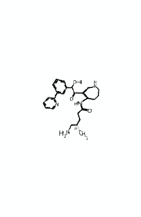 C[C@H](CN)CCC(=O)NC1CCCNCC1C(=O)C(O)c1cccc(-c2ccccn2)c1